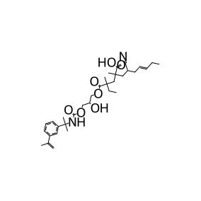 C=C(C)c1cccc(C(C)(C)NC(=O)OCC(O)COC(=O)C(C)(CC)CC(C)(CC(C#N)CC=CCC)C(=O)O)c1